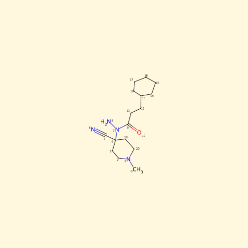 CN1CCC(C#N)(N(N)C(=O)CCC2CCCCC2)CC1